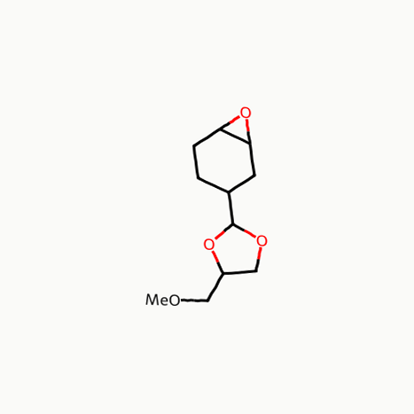 COCC1COC(C2CCC3OC3C2)O1